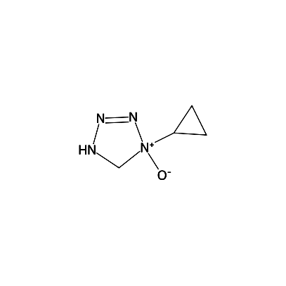 [O-][N+]1(C2CC2)CNN=N1